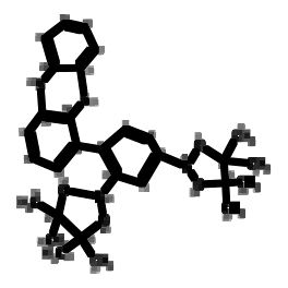 CC1(C)OB(c2ccc(-c3cccc4c3Sc3ccccc3S4)c(B3OC(C)(C)C(C)(C)O3)c2)OC1(C)C